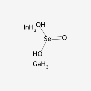 O=[Se](O)O.[GaH3].[InH3]